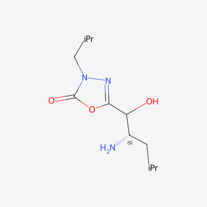 CC(C)C[C@H](N)C(O)c1nn(CC(C)C)c(=O)o1